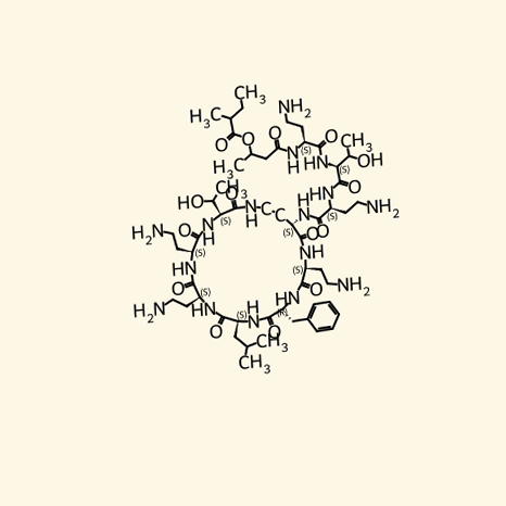 CCC(C)C(=O)OC(C)CC(=O)N[C@@H](CCN)C(=O)N[C@H](C(=O)N[C@@H](CCN)C(=O)N[C@H]1CCNC(=O)[C@H](C(C)O)NC(=O)[C@H](CCN)NC(=O)[C@H](CCN)NC(=O)[C@H](CC(C)C)NC(=O)[C@@H](Cc2ccccc2)NC(=O)[C@H](CCN)NC1=O)C(C)O